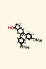 COc1ccc(C2=C(c3ccc(OC)cc3)CC3C(O)CCC3C2)cc1